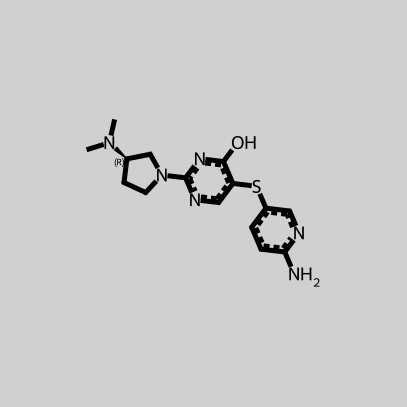 CN(C)[C@@H]1CCN(c2ncc(Sc3ccc(N)nc3)c(O)n2)C1